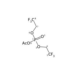 CC(=O)OP(=O)(OCC(F)(F)F)OCC(F)(F)F